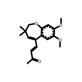 COc1cc2c(cc1OC)C(/C=C/C(C)=O)=CC(C)(C)CO2